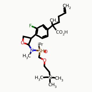 C=CCCC(C)(C(=O)O)c1ccc(C2COC2N(C)[SH](=O)(COCC[Si](C)(C)C)C(C)C)c(F)c1